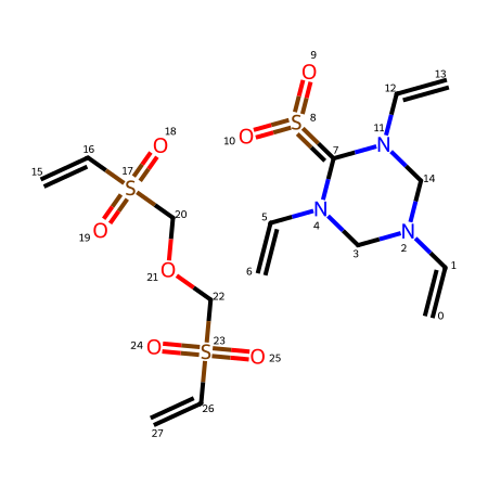 C=CN1CN(C=C)C(=S(=O)=O)N(C=C)C1.C=CS(=O)(=O)COCS(=O)(=O)C=C